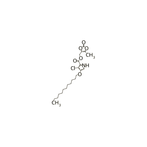 CCCCCCCCCCCCOc1c[nH]c(C(=O)OCc2oc(=O)oc2C)c1Cl